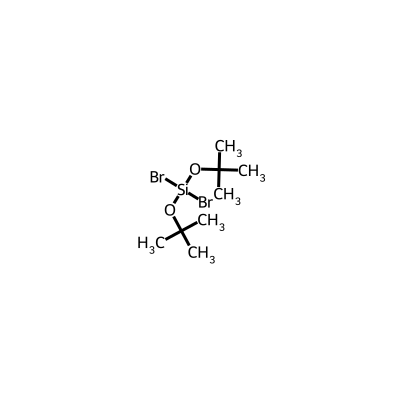 CC(C)(C)O[Si](Br)(Br)OC(C)(C)C